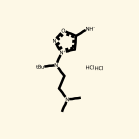 CN(C)CCN([n+]1cc([NH-])on1)C(C)(C)C.Cl.Cl